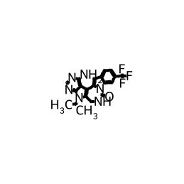 CC(C)n1c2c(c3c(N)ncnc31)-c1cc3ccc(C(F)(F)F)cc3n1C(=O)NC2